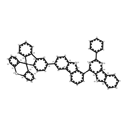 c1ccc(-c2nc(-c3cccc4c3oc3ccc(-c5ccc6c(c5)-c5ccccc5C65c6ccccc6Oc6ccccc65)cc34)c3sc4ccccc4c3n2)cc1